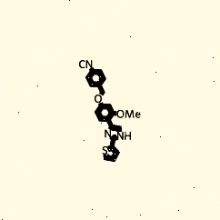 [C-]#[N+]c1ccc(COc2ccc(-c3c[nH]c(-c4cccs4)n3)c(OC)c2)cc1